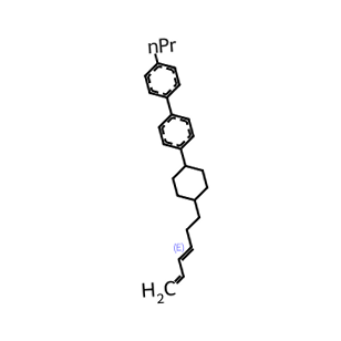 C=C/C=C/CCC1CCC(c2ccc(-c3ccc(CCC)cc3)cc2)CC1